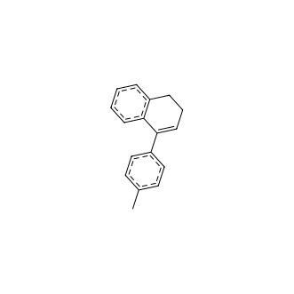 Cc1ccc(C2=CCCc3ccccc32)cc1